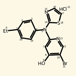 CCc1ccc(N(c2cc(O)c(Br)cn2)c2nccs2)cc1.Cl